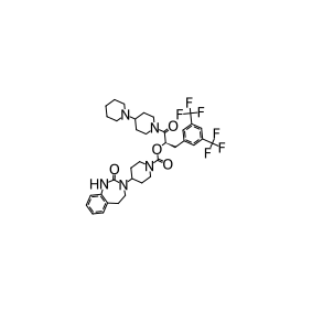 O=C(O[C@H](Cc1cc(C(F)(F)F)cc(C(F)(F)F)c1)C(=O)N1CCC(N2CCCCC2)CC1)N1CCC(N2CCc3ccccc3NC2=O)CC1